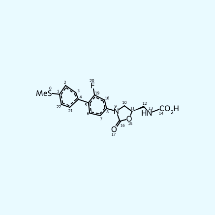 CSc1ccc(-c2ccc(N3C[C@@H](CNC(=O)O)OC3=O)cc2F)cc1